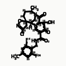 Cc1cc(F)c(CNC(=O)c2cn3c(c(O)c2=O)C(=O)N2C[C@@H]3[C@]3(CC[C@@H]2C)CC(Cl)=NO3)c(F)c1